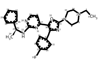 CCN1CCN(c2nc(-c3ccc(F)cc3)c(-c3ccnc(N[C@@H](C)c4ccccc4)n3)o2)CC1